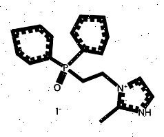 Cc1[nH]cc[n+]1CCP(=O)(c1ccccc1)c1ccccc1.[I-]